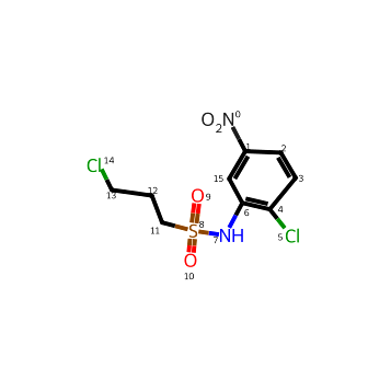 O=[N+]([O-])c1ccc(Cl)c(NS(=O)(=O)CCCCl)c1